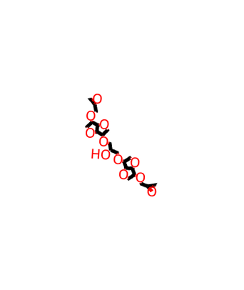 OC(COC1COC2C(OCC3CO3)COC12)COC1COC2C(OCC3CO3)COC12